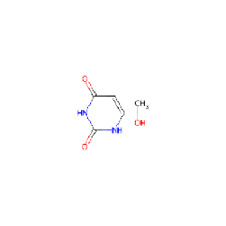 CO.O=c1cc[nH]c(=O)[nH]1